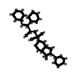 O=C(OS(=O)(=O)c1ccc2[nH]c(-c3ccccc3)nc2c1)C(=Cc1ccccc1)c1ccccc1